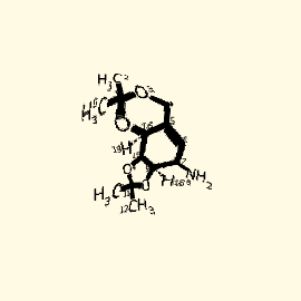 CC1(C)OCC2=C[C@@H](N)[C@H]3OC(C)(C)OC3[C@H]2O1